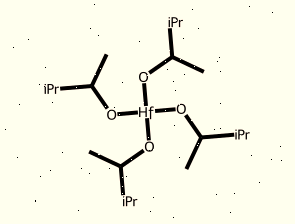 CC(C)C(C)[O][Hf]([O]C(C)C(C)C)([O]C(C)C(C)C)[O]C(C)C(C)C